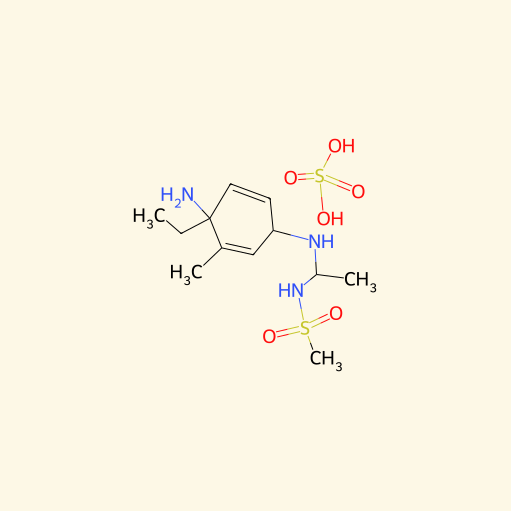 CCC1(N)C=CC(NC(C)NS(C)(=O)=O)C=C1C.O=S(=O)(O)O